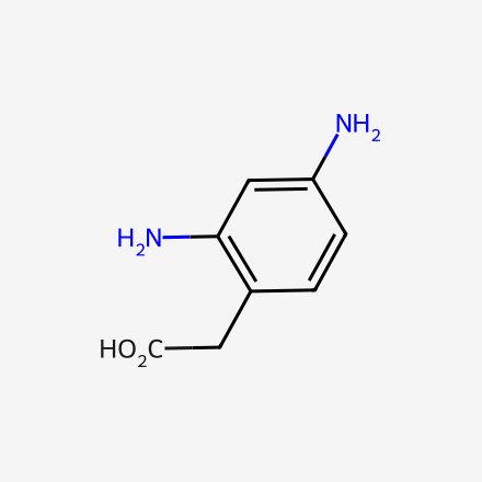 Nc1ccc(CC(=O)O)c(N)c1